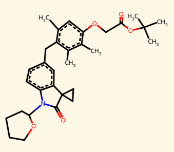 Cc1cc(OCC(=O)OC(C)(C)C)c(C)c(C)c1Cc1ccc2c(c1)C1(CC1)C(=O)N2C1CCCCO1